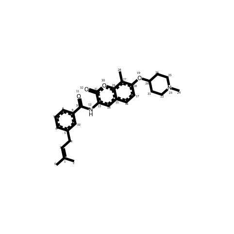 CC(C)=CCc1[c]ccc(C(=O)Nc2cc3ccc(OC4CCN(C)CC4)c(C)c3oc2=O)c1